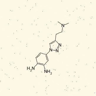 CN(C)CCc1cn(-c2ccc(N)c(N)c2)nn1